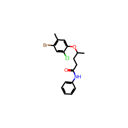 Cc1cc(OC(C)CCC(=O)Nc2ccccc2)c(Cl)cc1Br